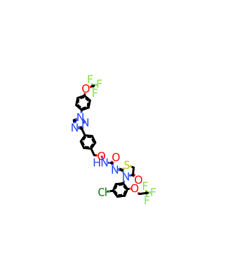 O=C(/N=C1\SCC(=O)N1c1cc(Cl)ccc1OCC(F)(F)F)NOCc1ccc(-c2ncn(-c3ccc(OC(F)(F)F)cc3)n2)cc1